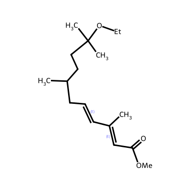 CCOC(C)(C)CCC(C)C/C=C/C(C)=C/C(=O)OC